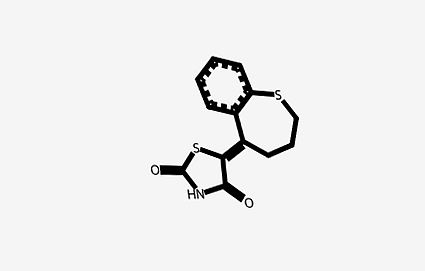 O=C1NC(=O)C(=C2CCCSc3ccccc32)S1